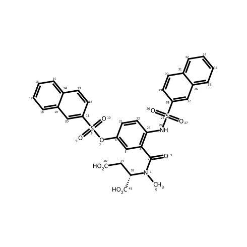 CN(C(=O)c1cc(OS(=O)(=O)c2ccc3ccccc3c2)ccc1NS(=O)(=O)c1ccc2ccccc2c1)[C@@H](CC(=O)O)C(=O)O